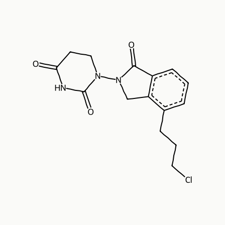 O=C1CCN(N2Cc3c(CCCCl)cccc3C2=O)C(=O)N1